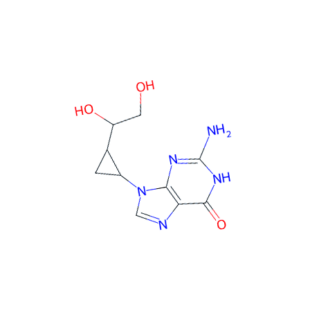 Nc1nc2c(ncn2C2CC2C(O)CO)c(=O)[nH]1